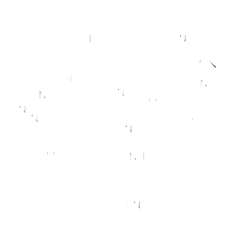 Cn1cnnc1CC1(c2cc(NCCC#N)nc(N3Cc4c(cc(CN5CC[C@@H](CN6CCOCC6)C5)cc4C(F)(F)F)C3=O)c2)COC1